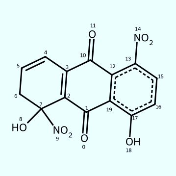 O=C1C2=C(C=CCC2(O)[N+](=O)[O-])C(=O)c2c([N+](=O)[O-])ccc(O)c21